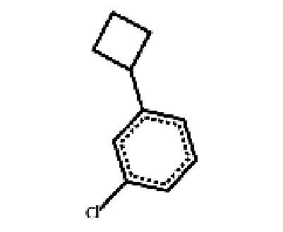 Clc1[c]c(C2CCC2)ccc1